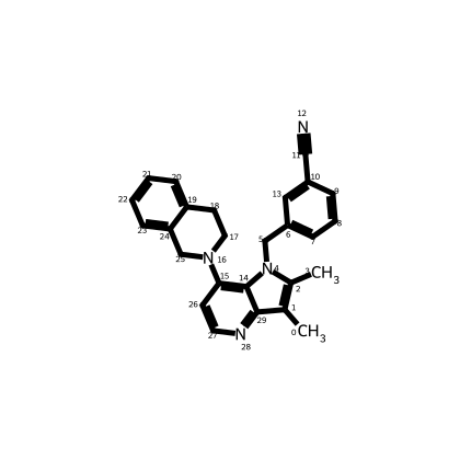 Cc1c(C)n(Cc2cccc(C#N)c2)c2c(N3CCc4ccccc4C3)ccnc12